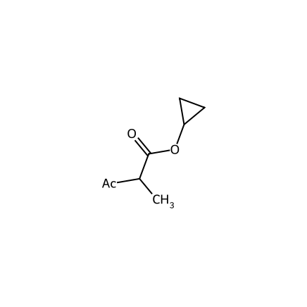 CC(=O)C(C)C(=O)OC1CC1